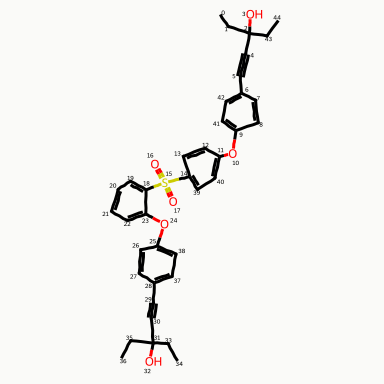 CCC(O)(C#Cc1ccc(Oc2ccc(S(=O)(=O)c3ccccc3Oc3ccc(C#CC(O)(CC)CC)cc3)cc2)cc1)CC